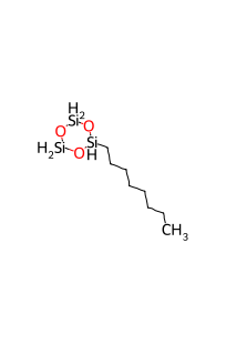 CCCCCCCC[SiH]1O[SiH2]O[SiH2]O1